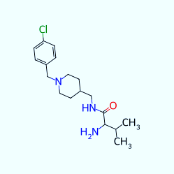 CC(C)C(N)C(=O)NCC1CCN(Cc2ccc(Cl)cc2)CC1